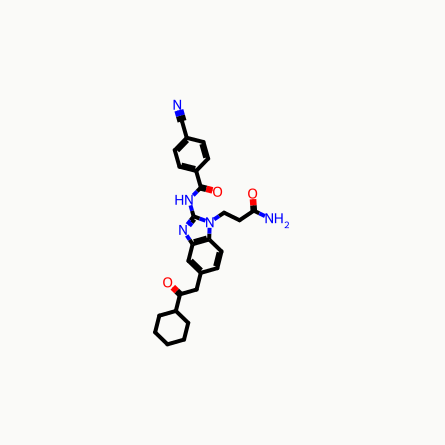 N#Cc1ccc(C(=O)Nc2nc3cc(CC(=O)C4CCCCC4)ccc3n2CCC(N)=O)cc1